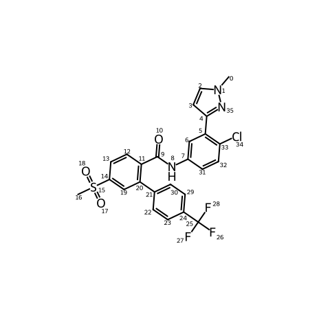 Cn1ccc(-c2cc(NC(=O)c3ccc(S(C)(=O)=O)cc3-c3ccc(C(F)(F)F)cc3)ccc2Cl)n1